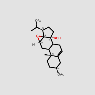 CC(=O)OC(C)[C@H]1CC[C@]2(O)C3CC=C4C[C@@H](OC(C)=O)CC[C@]4(C)C3C[C@H]3O[C@]132